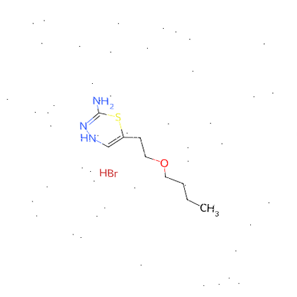 Br.CCCCOCCC1=CNN=C(N)S1